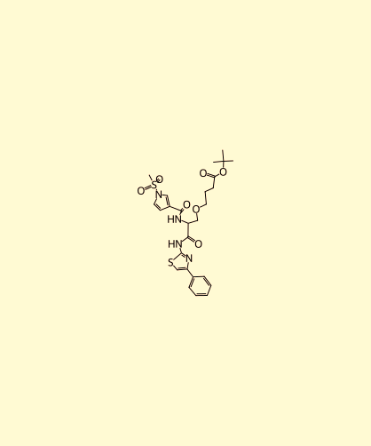 CC(C)(C)OC(=O)CCCOCC(NC(=O)c1ccn(S(C)(=O)=O)c1)C(=O)Nc1nc(-c2ccccc2)cs1